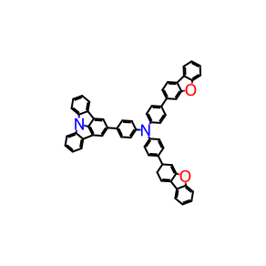 C1=c2oc3ccccc3c2=CCC1c1ccc(N(c2ccc(-c3ccc4c(c3)oc3ccccc34)cc2)c2ccc(-c3cc4c5ccccc5n5c6ccccc6c(c3)c45)cc2)cc1